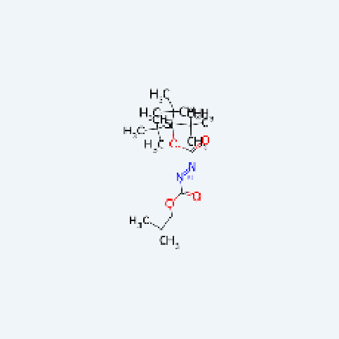 CC(C)COC(=O)/N=N/C(=O)O[Si](C(C)(C)C)(C(C)(C)C)C(C)(C)C